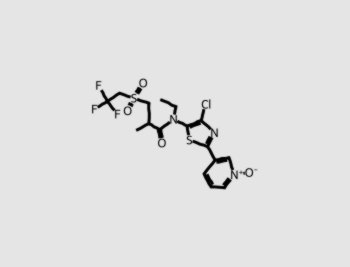 CCN(C(=O)C(C)CS(=O)(=O)CC(F)(F)F)c1sc(-c2ccc[n+]([O-])c2)nc1Cl